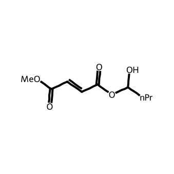 CCCC(O)OC(=O)C=CC(=O)OC